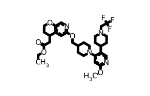 CCOC(=O)CC1CCOc2cnc(OCC3CCN(c4cc(OC)ncc4C4CCN(CC(F)(F)F)CC4)CC3)cc21